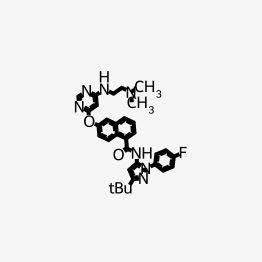 CN(C)CCNc1cc(Oc2ccc3c(C(=O)Nc4cc(C(C)(C)C)nn4-c4ccc(F)cc4)cccc3c2)ncn1